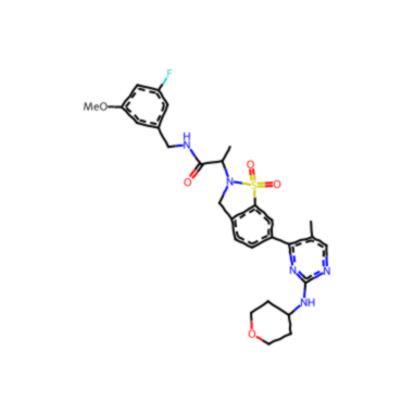 COc1cc(F)cc(CNC(=O)C(C)N2Cc3ccc(-c4nc(NC5CCOCC5)ncc4C)cc3S2(=O)=O)c1